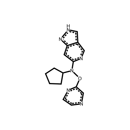 c1cnc(ON(c2cc3n[nH]cc3cn2)C2CCCC2)cn1